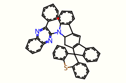 C1=C2c3ccccc3N(c3nc4ccccc4nc3-c3ccccc3)C2CC2=C1c1ccccc1C21c2ccccc2Sc2ccccc21